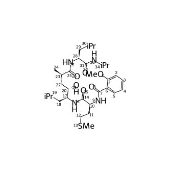 COc1ccccc1C(=O)N[C@@H](CCSC)C(=O)N[C@@H](CC(C)C)[C@@H](O)C[C@@H](C)C(=O)N[C@@H](CC(C)C)C(=O)NC(C)C